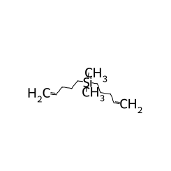 C=CCCC[Si](C)(C)CCCC=C